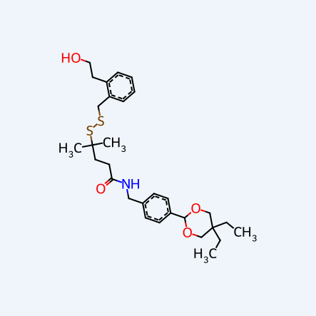 CCC1(CC)COC(c2ccc(CNC(=O)CCC(C)(C)SSCc3ccccc3CCO)cc2)OC1